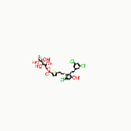 CC[C@H](O)[C@@H](O)[C@@H](O)[C@@H](O)COC(=O)c1ccc(CCC[C@@H]2[C@@H](CCc3cc(Cl)cc(Cl)c3)[C@H](O)C[C@H]2Cl)s1